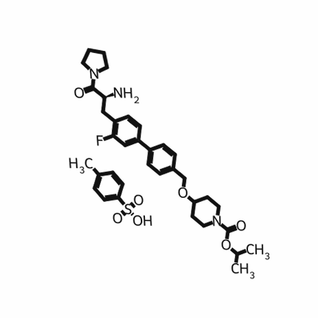 CC(C)OC(=O)N1CCC(OCc2ccc(-c3ccc(C[C@H](N)C(=O)N4CCCC4)c(F)c3)cc2)CC1.Cc1ccc(S(=O)(=O)O)cc1